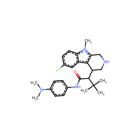 CN(C)c1ccc(NC(=O)C(C2CNCc3c2c2cc(F)ccc2n3C)C(C)(C)C)cc1